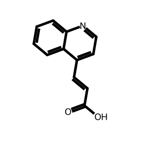 O=C(O)C=Cc1ccnc2ccccc12